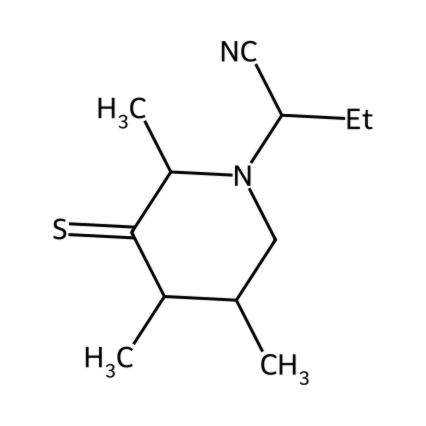 CCC(C#N)N1CC(C)C(C)C(=S)C1C